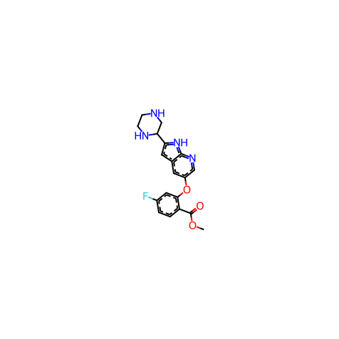 COC(=O)c1ccc(F)cc1Oc1cnc2[nH]c(C3CNCCN3)cc2c1